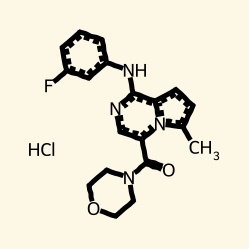 Cc1ccc2c(Nc3cccc(F)c3)ncc(C(=O)N3CCOCC3)n12.Cl